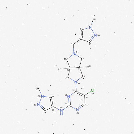 Cn1cc(CN2C[C@@]3(C)CN(c4nc(Nc5cnn(C)c5)ncc4Cl)C[C@@]3(C)C2)cn1